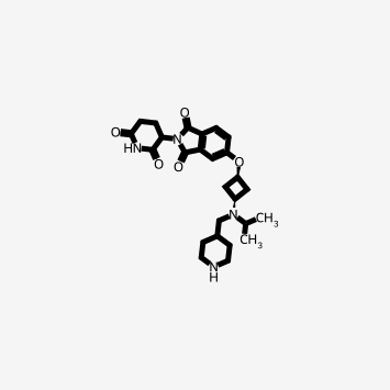 CC(C)N(CC1CCNCC1)[C@H]1C[C@H](Oc2ccc3c(c2)C(=O)N(C2CCC(=O)NC2=O)C3=O)C1